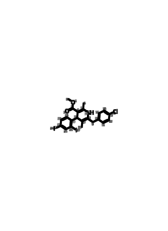 COC(=O)C1=C(C)NC(Cc2ccc(Cl)cc2)=C(C)C1c1ccc(F)cc1I